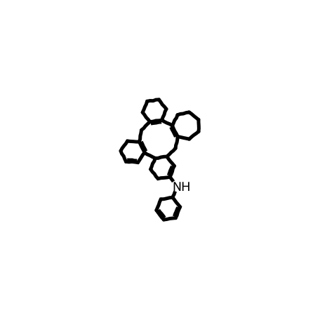 C1=CCC(NC2=CC3CC4=C(CCCCC4)C4=C(CCCC4)CC4=C(C=CCC4)C3CC2)C=C1